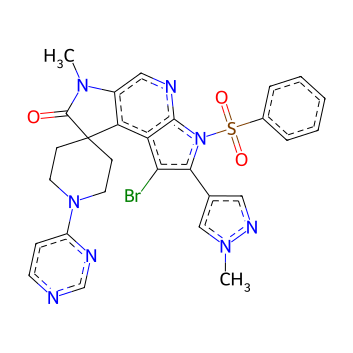 CN1C(=O)C2(CCN(c3ccncn3)CC2)c2c1cnc1c2c(Br)c(-c2cnn(C)c2)n1S(=O)(=O)c1ccccc1